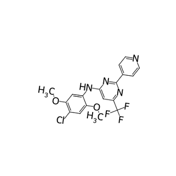 COc1cc(Nc2cc(C(F)(F)F)nc(-c3ccncc3)n2)c(OC)cc1Cl